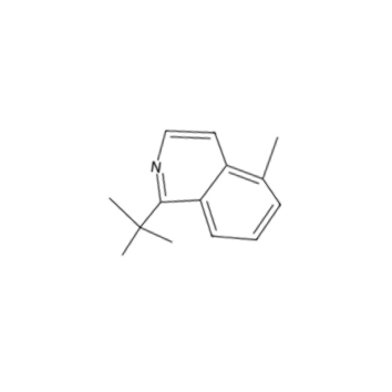 Cc1cccc2c(C(C)(C)C)nccc12